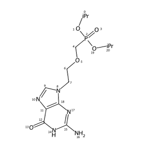 CC(C)OP(=O)(COCCn1cnc2c(=O)[nH]c(N)nc21)OC(C)C